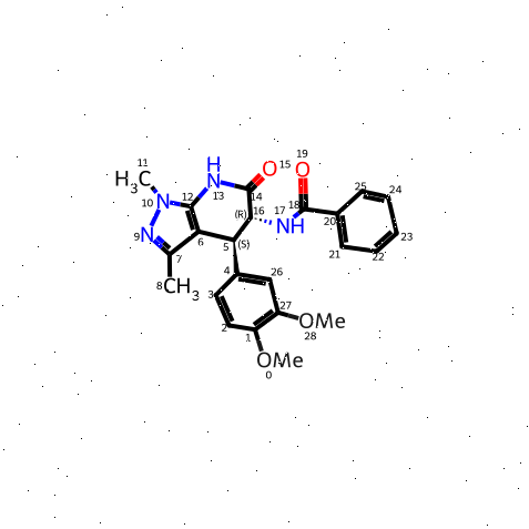 COc1ccc([C@H]2c3c(C)nn(C)c3NC(=O)[C@@H]2NC(=O)c2ccccc2)cc1OC